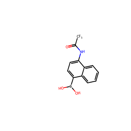 O=C(Nc1ccc(B(O)O)c2ccccc12)C(F)(F)F